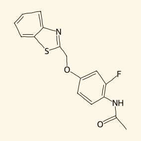 CC(=O)Nc1ccc(OCc2nc3ccccc3s2)cc1F